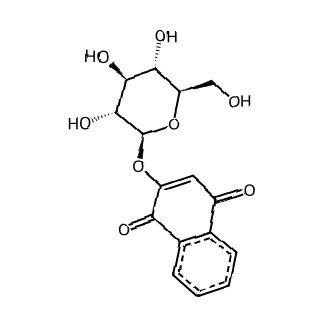 O=C1C=C(O[C@@H]2O[C@H](CO)[C@@H](O)[C@H](O)[C@H]2O)C(=O)c2ccccc21